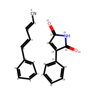 N#CC=CC=Cc1ccccc1.O=C1C=C(c2ccccc2)C(=O)N1